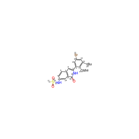 COc1c(-c2cc3ccc(NS(C)(=O)=O)cc3c(=O)[nH]2)cc(Br)cc1C(C)(C)C